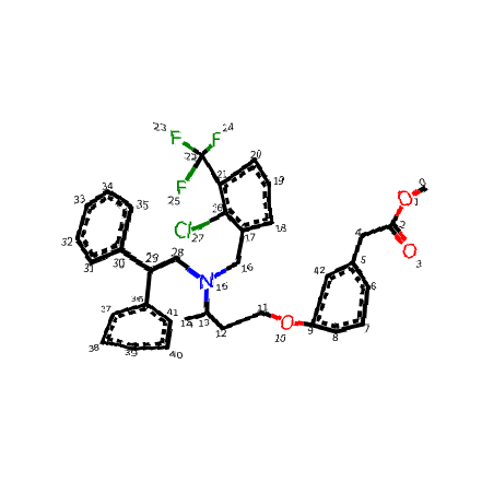 COC(=O)Cc1cccc(OCCC(C)N(Cc2cccc(C(F)(F)F)c2Cl)CC(c2ccccc2)c2ccccc2)c1